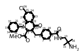 COC(=O)c1c(Cc2ccc(C(=O)NCC(C)(C)N)cc2)c(=O)c2ccc(Cl)cc2n1-c1ccccc1